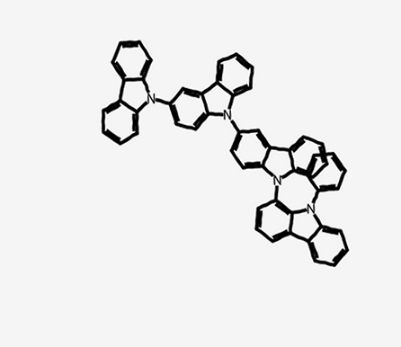 c1ccc(-n2c3ccccc3c3cccc(-n4c5ccccc5c5cc(-n6c7ccccc7c7cc(-n8c9ccccc9c9ccccc98)ccc76)ccc54)c32)cc1